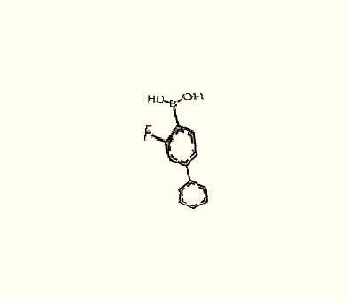 OB(O)c1ccc(-c2ccccc2)cc1F